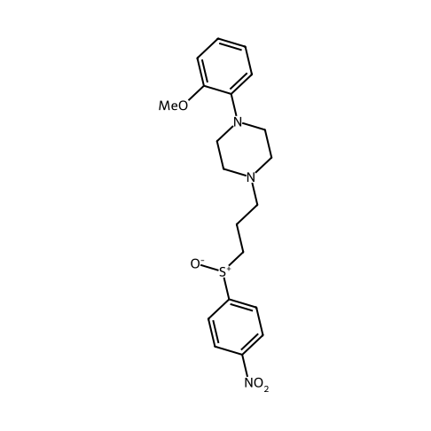 COc1ccccc1N1CCN(CCC[S+]([O-])c2ccc([N+](=O)[O-])cc2)CC1